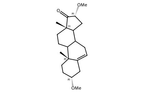 CO[C@@H]1CC[C@@]2(C)C(=CCC3C2CC[C@]2(C)C(=O)[C@H](OC)CC32)C1